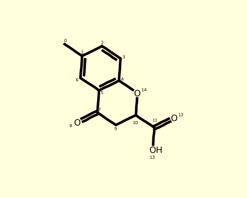 Cc1ccc2c(c1)C(=O)CC(C(=O)O)O2